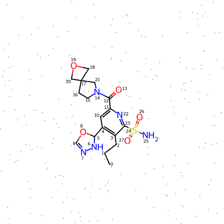 CCCc1c(C2NN=CO2)cc(C(=O)N2CCC3(COC3)C2)nc1S(N)(=O)=O